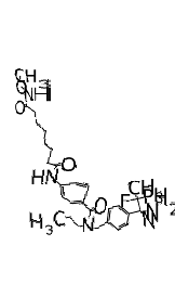 CCCN(Cc1ccc(C2(C(C)(F)P)N=N2)cc1)C(=O)c1ccc(NC(=O)CCCCCCC(=O)NOC)cc1